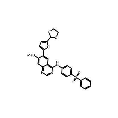 COc1cc2ncnc(Nc3ccc(S(=O)(=O)c4ccccc4)cc3)c2cc1-c1ccc(C2OCCO2)o1